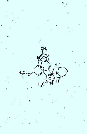 COc1cc(OC)cc(-c2c3c(nn2C)[C@@H]2CCC[C@H](C3)N2C(=O)c2ccc3nc(C)oc3c2)c1